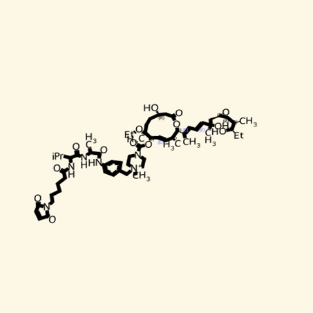 CCO[C@]1(C)CC[C@@H](O)CC(=O)O[C@H](/C(C)=C/C=C/C(C)(O)C[C@H]2O[C@@H]2[C@H](C)[C@@H](O)CC)[C@@H](C)/C=C/[C@@H]1OC(=O)N1CC[N+](C)(Cc2ccc(NC(=O)C(C)NC(=O)C(NC(=O)CCCCCN3C(=O)C=CC3=O)C(C)C)cc2)CC1